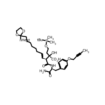 CC#CCOc1ccc(C[C@H](NC(=O)[C@@H](C=CCCCCCCC2(CCCCCCC)OCCO2)[C@@](O)(CCO[Si](C)(C)C(C)(C)C)C(=O)O)C(N)=O)cc1